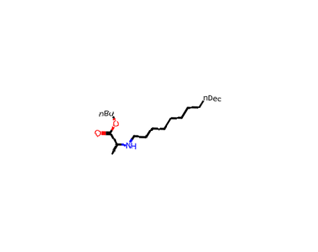 CCCCCCCCCCCCCCCCCCNC(C)C(=O)OCCCC